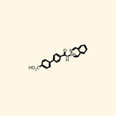 O=C(O)c1ccc(-c2ccc(C(=O)N[SH]3C=Cc4ccccc4C=N3)cc2)cc1